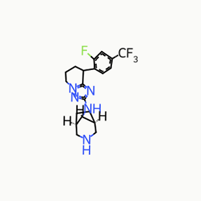 Fc1cc(C(F)(F)F)ccc1C1CCCn2nc(N[C@@H]3[C@@H]4CC[C@H]3CNC4)nc21